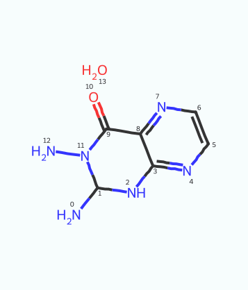 NC1Nc2nccnc2C(=O)N1N.O